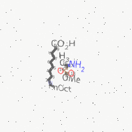 CCCCCCCC/C=C\CCCCCCCC(=O)O.COS(=O)(=O)C(C)N